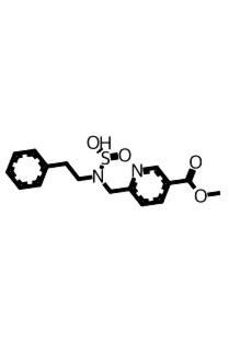 COC(=O)c1ccc(CN(CCc2ccccc2)[SH](=O)=O)nc1